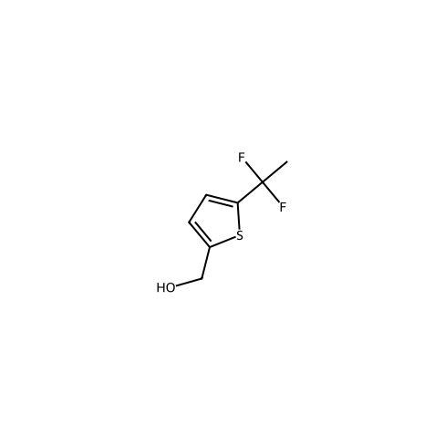 CC(F)(F)c1ccc(CO)s1